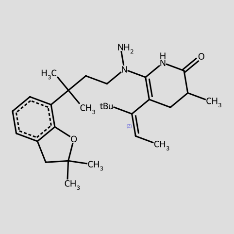 C/C=C(\C1=C(N(N)CCC(C)(C)c2cccc3c2OC(C)(C)C3)NC(=O)C(C)C1)C(C)(C)C